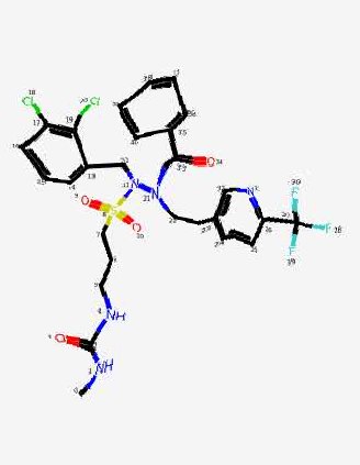 CNC(=O)NCCCS(=O)(=O)N(Cc1cccc(Cl)c1Cl)N(Cc1ccc(C(F)(F)F)nc1)C(=O)c1ccccc1